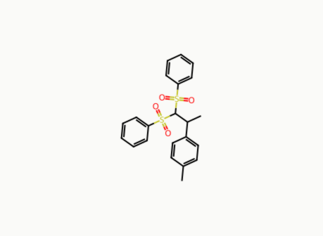 Cc1ccc(C(C)C(S(=O)(=O)c2ccccc2)S(=O)(=O)c2ccccc2)cc1